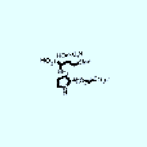 CSCCC(N)C(=O)O.NCC(=O)O.O=C(O)[C@@H]1CCCN1.O=S(=O)(O)O